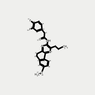 CCCc1nc2c(nc1NC(=O)Cc1ccc(F)c(F)c1)CCc1cc(OC)ccc1-2